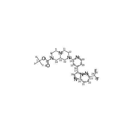 CC(C)(C)OC(=O)N1CCN2CCN(c3cc(-c4cnc5ccc(C(F)F)nn45)ccn3)CC2C1